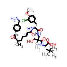 COc1ccc(C[C@@H](NC(=O)/C=C/CC[C@H](C)C2O[C@@H]2c2ccc(CN)cc2)C(=O)NCC(C)(CO)C(=O)N[C@@H](CC(C)(C)C)C(=O)O)cc1Cl